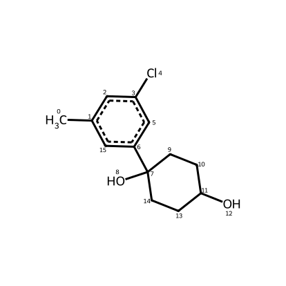 Cc1cc(Cl)cc(C2(O)CCC(O)CC2)c1